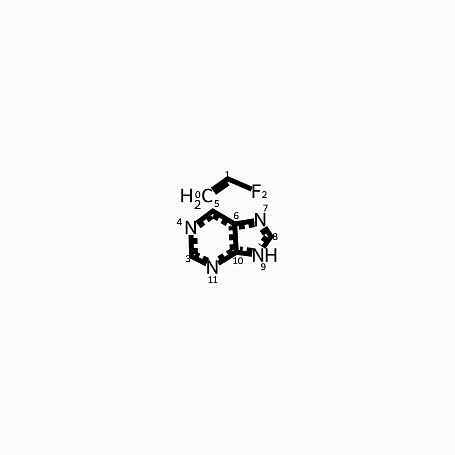 C=CF.c1ncc2nc[nH]c2n1